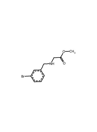 COC(=O)CNCc1cccc(Br)c1